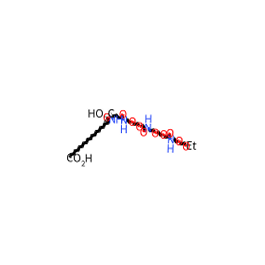 CCOCCOCCNC(=O)COCCOCCNC(=O)COCCOCCNC(=O)CC[C@H](NC(=O)CCCCCCCCCCCCCCCCCCC(=O)O)C(=O)O